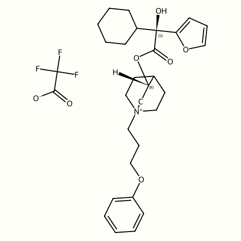 O=C(O[C@H]1C[N+]2(CCCOc3ccccc3)CCC1CC2)[C@@](O)(c1ccco1)C1CCCCC1.O=C([O-])C(F)(F)F